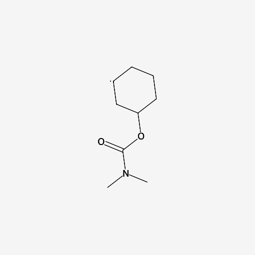 CN(C)C(=O)OC1C[CH]CCC1